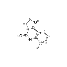 Cc1cccc2c1=NC(=O)C1CCOC=21